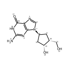 Nc1nc2c(ncn2[C@H]2C[C@H](CO)[C@H](O)C2)c(=O)[nH]1